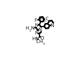 CNC(=O)c1cn2c(-c3ccc4nccc(C)c4c3)c(-c3ccccc3F)nc(N)c2n1